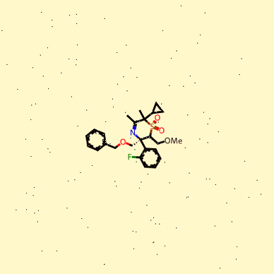 COCC1[C@@](COCc2ccccc2)(c2ccccc2F)N=C(C)C(C)(C2CC2)S1(=O)=O